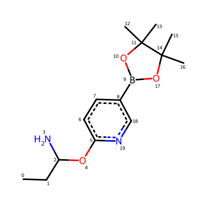 CCC(N)Oc1ccc(B2OC(C)(C)C(C)(C)O2)cn1